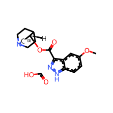 COc1ccc2[nH]nc(C(=O)O[C@@H]3CN4CCC3CC4)c2c1.O=CO